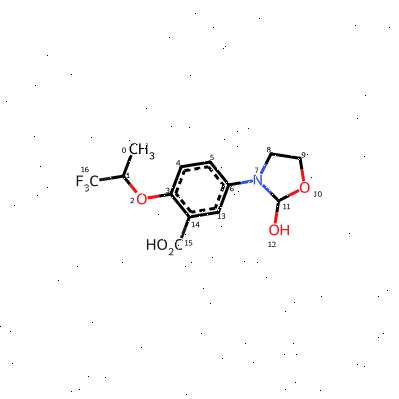 CC(Oc1ccc(N2CCOC2O)cc1C(=O)O)C(F)(F)F